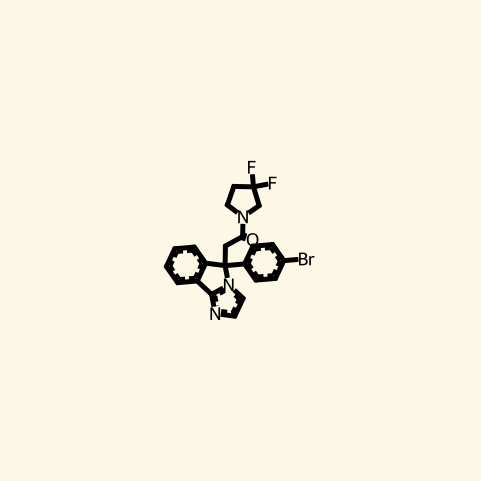 O=C(CC1(c2ccc(Br)cc2)c2ccccc2-c2nccn21)N1CCC(F)(F)C1